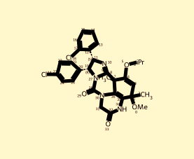 COC1(C)C=C(OC(C)C)C2(C)C3=N[C@@H](c4ccccc4Cl)[C@@H](c4ccc(Cl)cc4)N3C(=O)N3CC(=O)NC1=C32